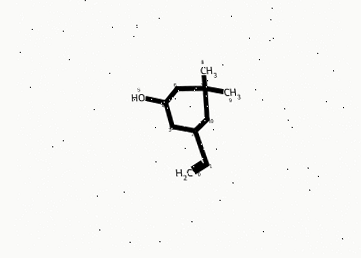 C=CC1CC(O)CC(C)(C)C1